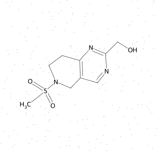 CS(=O)(=O)N1CCc2nc(CO)ncc2C1